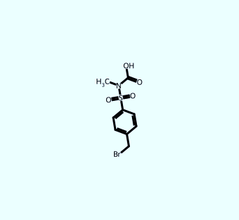 CN(C(=O)O)S(=O)(=O)c1ccc(CBr)cc1